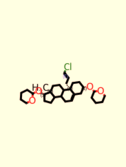 C[C@]12CCC3C(CC=C4C[C@@H](OC5CCCCO5)CC[C@@]43C/C=C/Cl)C1CC[C@@H]2OC1CCCCO1